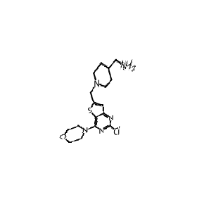 NCC1CCN(Cc2cc3nc(Cl)nc(N4CCOCC4)c3s2)CC1